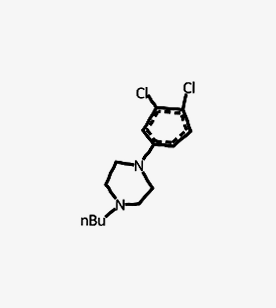 CCCCN1CCN(c2ccc(Cl)c(Cl)c2)CC1